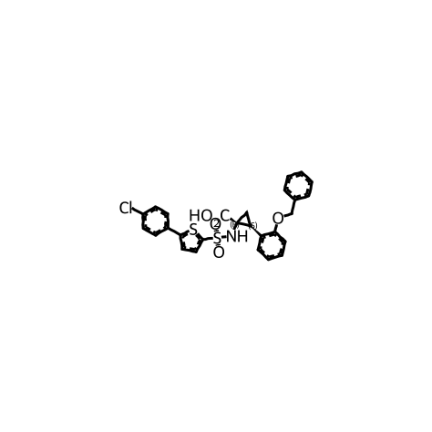 O=C(O)[C@@]1(NS(=O)(=O)c2ccc(-c3ccc(Cl)cc3)s2)C[C@H]1c1ccccc1OCc1ccccc1